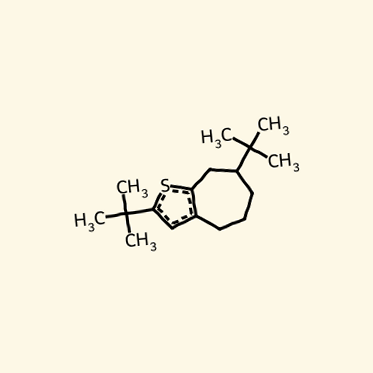 CC(C)(C)c1cc2c(s1)CC(C(C)(C)C)CCC2